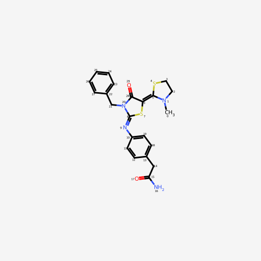 CN1CCSC1=C1SC(=Nc2ccc(CC(N)=O)cc2)N(Cc2ccccc2)C1=O